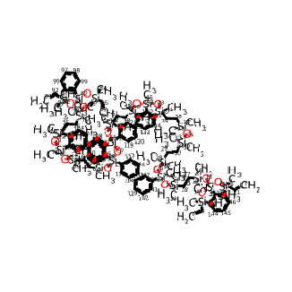 C=C[Si](C)(C)O[Si](O[Si](C)(C)C=C)(O[Si](C)(C)CC[Si](C)(C)O[Si](C)(O[Si](C)(C)CC[Si](C)(C)O[Si](C)(C)CC[Si](C)(C)O[Si](C)(O[Si](C)(C)CC[Si](C)(C)O[Si](O[Si](O[Si](C)(C)CC[Si](C)(C)O[Si](C)(O[Si](C)(C)CC[Si](C)(C)O[Si](O[Si](C)(C)C=C)(O[Si](C)(C)C=C)c1ccccc1)c1ccccc1)(c1ccccc1)c1ccccc1)(c1ccccc1)c1ccccc1)c1ccccc1)c1ccccc1)c1ccccc1